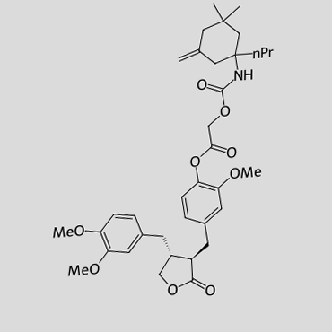 C=C1CC(C)(C)CC(CCC)(NC(=O)OCC(=O)Oc2ccc(C[C@H]3C(=O)OC[C@@H]3Cc3ccc(OC)c(OC)c3)cc2OC)C1